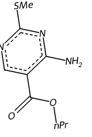 CCCOC(=O)c1cnc(SC)nc1N